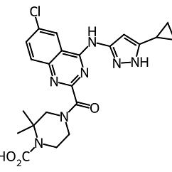 CC1(C)CN(C(=O)c2nc(Nc3cc(C4CC4)[nH]n3)c3cc(Cl)ccc3n2)CCN1C(=O)O